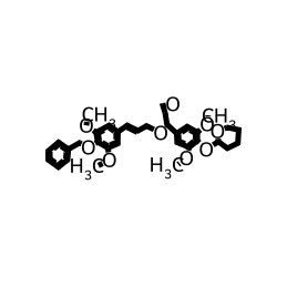 COc1cc(C=CCO[C@H](c2cc(OC)c(OC3CCCCO3)c(OC)c2)C2CO2)cc(OC)c1OCc1ccccc1